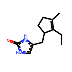 CCC1=C(C)CCC1Cc1c[nH]c(=O)[nH]1